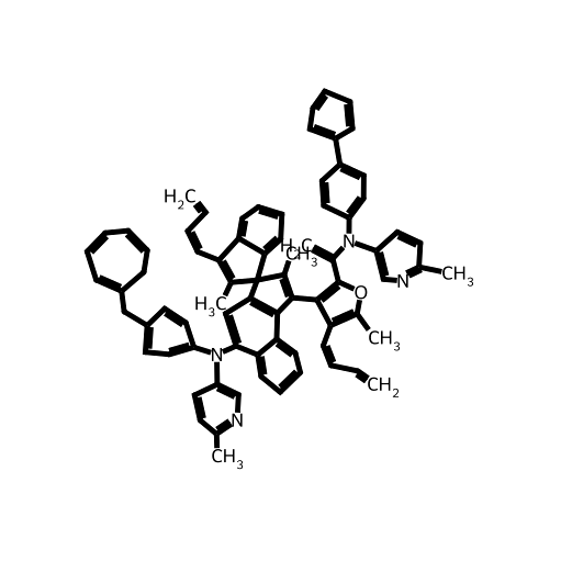 C=C/C=C\C1=C(C)C2(C(C)=C(c3c(C(=C)N(c4ccc(-c5ccccc5)cc4)c4ccc(C)nc4)oc(C)c3/C=C\C=C)c3c2cc(N(c2ccc(CC4=CC=CC=CC4)cc2)c2ccc(C)nc2)c2ccccc32)c2ccccc21